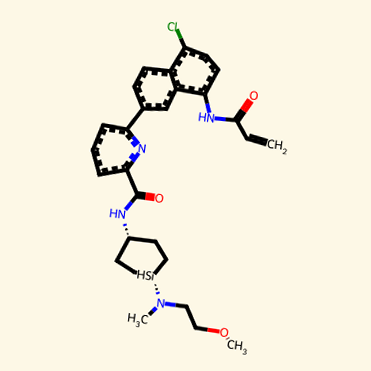 C=CC(=O)Nc1ccc(Cl)c2ccc(-c3cccc(C(=O)N[C@H]4CC[Si@@H](N(C)CCOC)CC4)n3)cc12